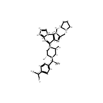 Cc1nc2c(N3C[C@@H](C)N([C@H](c4ccc(C(F)F)cc4)C(C)C)C[C@@H]3C)nc3nncn3c2n1C[C@@H]1CCCO1